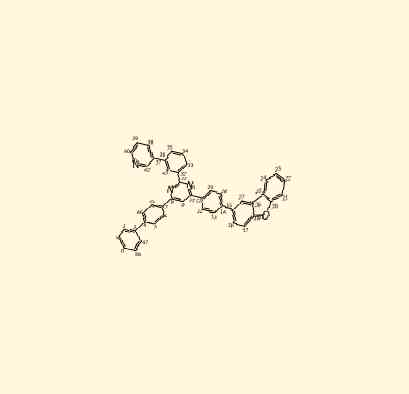 c1ccc(-c2ccc(-c3cc(-c4ccc(-c5ccc6oc7ccccc7c6c5)cc4)nc(-c4cccc(-c5cccnc5)c4)n3)cc2)cc1